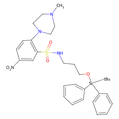 CN1CCN(c2ccc([N+](=O)[O-])cc2S(=O)(=O)NCCCO[Si](c2ccccc2)(c2ccccc2)C(C)(C)C)CC1